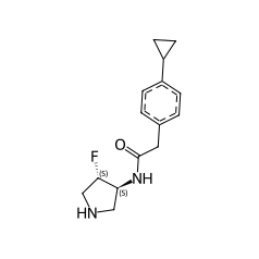 O=C(Cc1ccc(C2CC2)cc1)N[C@H]1CNC[C@@H]1F